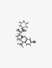 CN(C)C(c1ccc(Br)cc1)c1ccc(C(=O)NC2CCCCC2)n1C